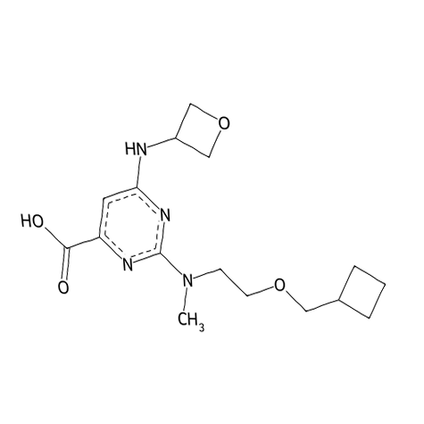 CN(CCOCC1CCC1)c1nc(NC2COC2)cc(C(=O)O)n1